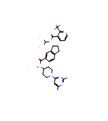 Cc1cc(N2CCC(N(C)C(=O)c3ccc4c(c3)[C@H](N(C(=O)c3cccnc3C(F)(F)F)C(C)C)CC4)CC2)nc(C)n1